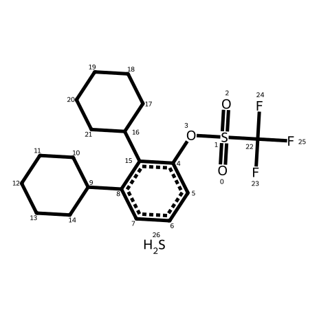 O=S(=O)(Oc1cccc(C2CCCCC2)c1C1CCCCC1)C(F)(F)F.S